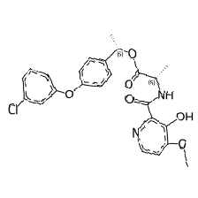 COc1ccnc(C(=O)N[C@@H](C)C(=O)O[C@@H](C)c2ccc(Oc3cccc(Cl)c3)cc2)c1O